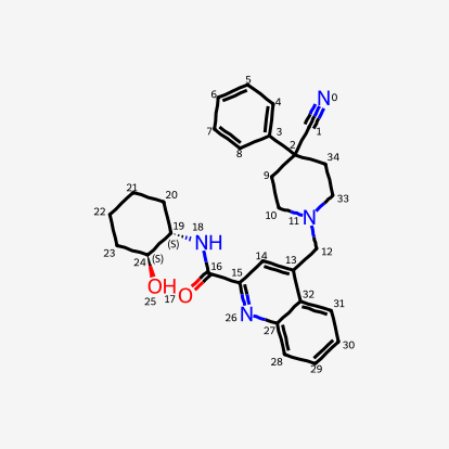 N#CC1(c2ccccc2)CCN(Cc2cc(C(=O)N[C@H]3CCCC[C@@H]3O)nc3ccccc23)CC1